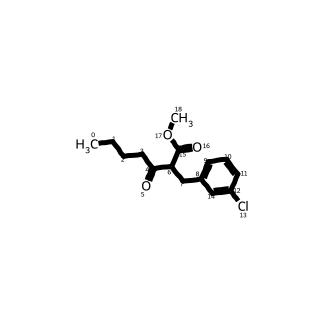 CCCCC(=O)C(Cc1cccc(Cl)c1)C(=O)OC